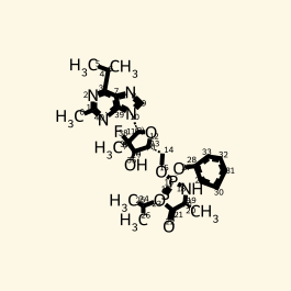 Cc1nc(C(C)C)c2ncn([C@@H]3O[C@H](COP(=S)(N[C@@H](C)C(=O)OC(C)C)Oc4ccccc4)[C@@H](O)[C@@]3(C)F)c2n1